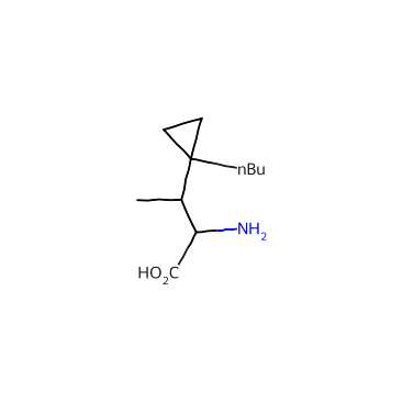 CCCCC1(C(C)C(N)C(=O)O)CC1